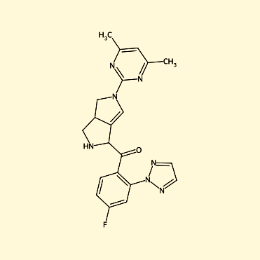 Cc1cc(C)nc(N2C=C3C(CNC3C(=O)c3ccc(F)cc3-n3nccn3)C2)n1